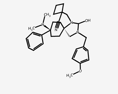 COc1ccc(CN2C[C@]3(CC[C@](c4ccccc4)(N(C)C)CC3)N(CC3(C#N)CCC3)C2O)cc1